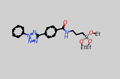 CCO[Si](CCCNC(=O)c1ccc(-c2nnn(-c3ccccc3)n2)cc1)(OCC)OCC